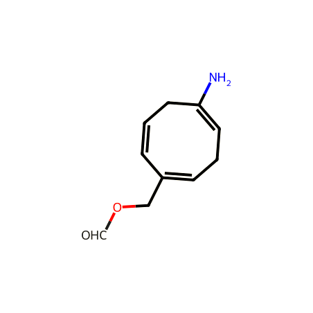 N/C1=C/C/C=C(COC=O)\C=C/C1